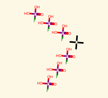 O=P(O)(O)F.O=P(O)(O)F.O=P(O)(O)F.O=P(O)(O)F.O=P(O)(O)F.O=P(O)(O)F.[CH3][U]([CH3])([CH3])[CH3]